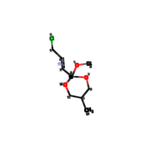 CCO[Si]1(/C=C/CCl)OCC(C)CO1